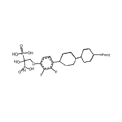 CCCCCC1CCC(C2CCC(c3ccc(OCC(O)([PH](=O)O)P(=O)(O)O)c(F)c3F)CC2)CC1